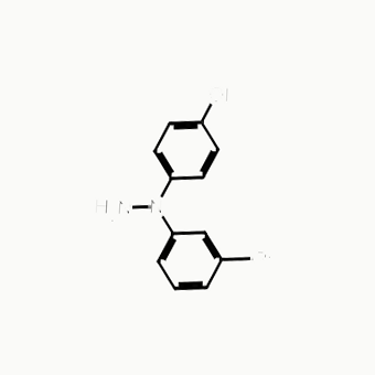 CC(C)c1cccc(N(N)c2ccc(O)cc2)c1